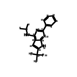 CC(C)Nc1nc(-c2ccccc2)nc2[nH]c(C(F)(F)F)cc12